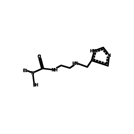 CCN(S)C(=O)NCCNCc1cnc[nH]1